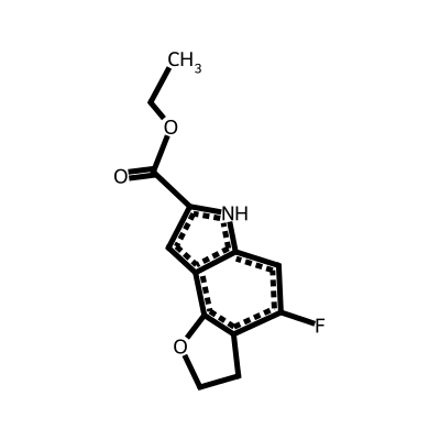 CCOC(=O)c1cc2c3c(c(F)cc2[nH]1)CCO3